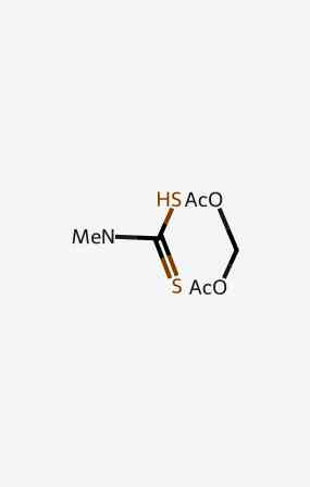 CC(=O)OCOC(C)=O.CNC(=S)S